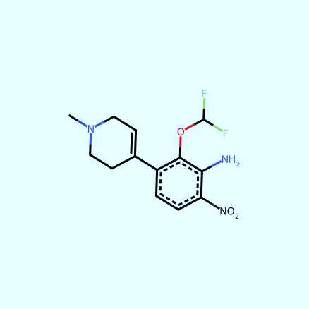 CN1CC=C(c2ccc([N+](=O)[O-])c(N)c2OC(F)F)CC1